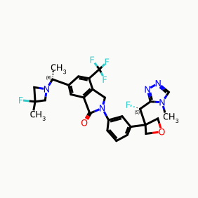 C[C@H](c1cc2c(c(C(F)(F)F)c1)CN(c1cccc(C3([C@H](F)c4nncn4C)COC3)c1)C2=O)N1CC(C)(F)C1